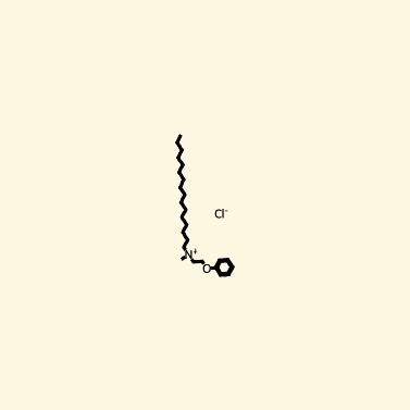 CCCCCCCCCCCCCCCC[N+](C)(C)CCOc1ccccc1.[Cl-]